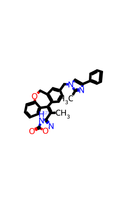 C/C(=C1\c2ccc(Cn3cc(-c4ccccc4)nc3C)cc2COc2ccccc21)c1noc(=O)[nH]1